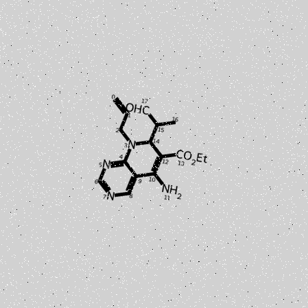 C=CCN1c2ncncc2C(N)=C(C(=O)OCC)C1C(C)C=O